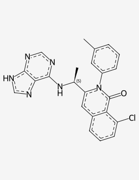 Cc1cccc(-n2c([C@H](C)Nc3ncnc4[nH]cnc34)cc3cccc(Cl)c3c2=O)c1